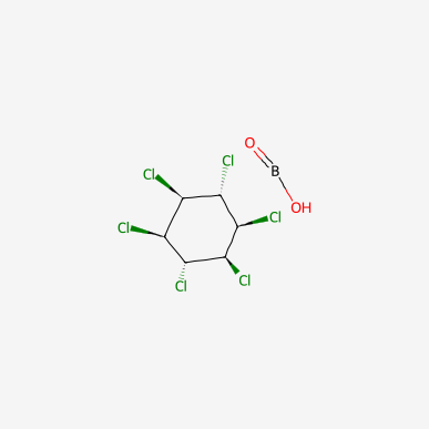 Cl[C@H]1[C@H](Cl)[C@@H](Cl)[C@@H](Cl)[C@H](Cl)[C@H]1Cl.O=BO